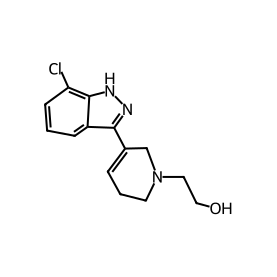 OCCN1CCC=C(c2n[nH]c3c(Cl)cccc23)C1